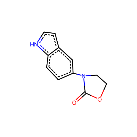 O=C1OCCN1c1ccc2[nH]ccc2c1